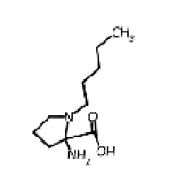 CCCCCN1CCCC1(N)C(=O)O